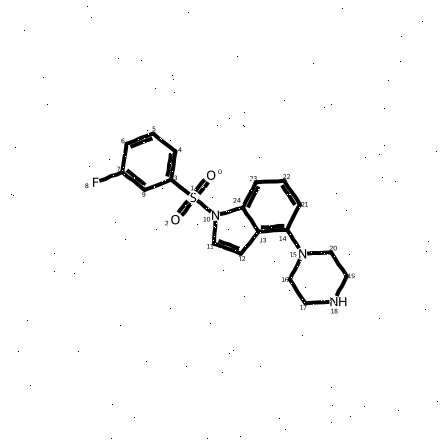 O=S(=O)(c1cccc(F)c1)n1ccc2c(N3CCNCC3)cccc21